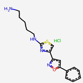 Cl.NCCCCCNc1nc(-c2cc(-c3ccccc3)on2)cs1